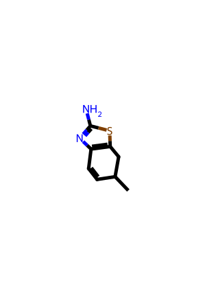 CC1C=Cc2nc(N)sc2C1